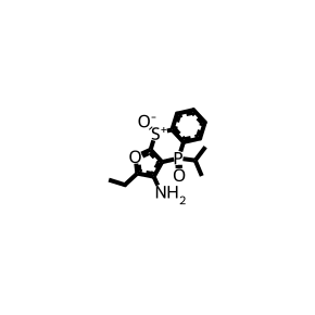 CCc1oc2c(c1N)P(=O)(C(C)C)c1ccccc1[S+]2[O-]